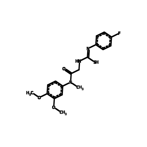 COc1ccc(N(C)C(=O)CNC(S)=Nc2ccc(F)cc2)cc1OC